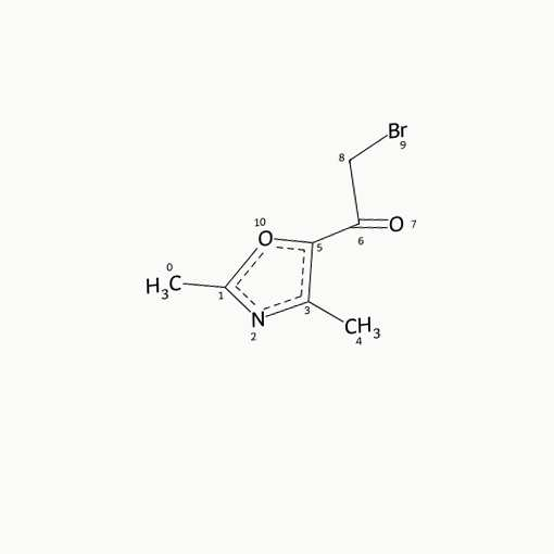 Cc1nc(C)c(C(=O)CBr)o1